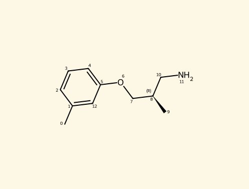 Cc1cccc(OC[C@H](C)CN)c1